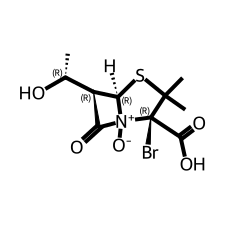 C[C@@H](O)[C@@H]1C(=O)[N+]2([O-])[C@@H]1SC(C)(C)[C@]2(Br)C(=O)O